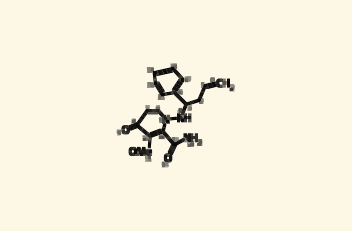 C=CCC(Nn1ccc(=O)c(OC)c1C(N)=O)c1ccccc1